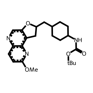 COc1ccc2ncc3c(c2n1)CC(CC1CCC(NC(=O)OC(C)(C)C)CC1)O3